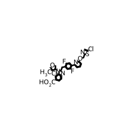 CC1(C)COC[C@H]1n1c(Cc2cc(F)c(-c3cccc(OCc4ncc(Cl)s4)n3)cc2F)nc2ccc(C(=O)O)cc21